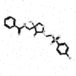 O=C(NC[C@]1(O)CO[C@H](CNS(=O)(=O)c2ccc(Cl)cc2)C1O)c1ccccc1